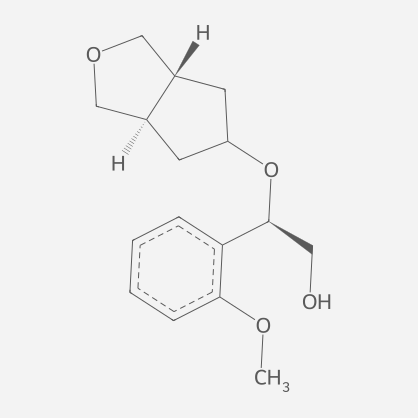 COc1ccccc1[C@H](CO)OC1C[C@H]2COC[C@@H]2C1